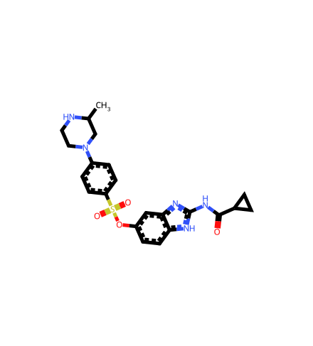 CC1CN(c2ccc(S(=O)(=O)Oc3ccc4[nH]c(NC(=O)C5CC5)nc4c3)cc2)CCN1